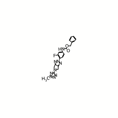 Cn1nnc(N2Cc3nn(-c4ccc(NC(=O)OCc5ccccc5)cc4F)nc3C2)n1